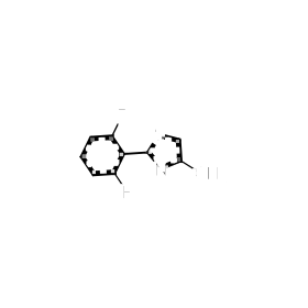 Cc1csc(-c2c(F)cccc2F)n1